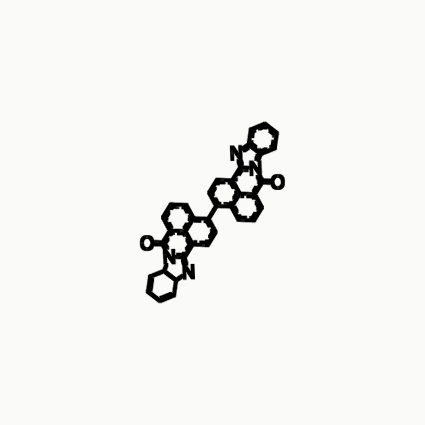 O=c1c2cccc3c(-c4ccc5c6c4cccc6c(=O)n4c6ccccc6nc54)ccc(c4n1C1C=CC=CC1N=4)c32